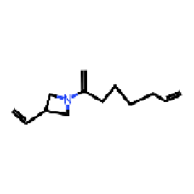 C=CCCCCC(=C)N1CC(C=C)C1